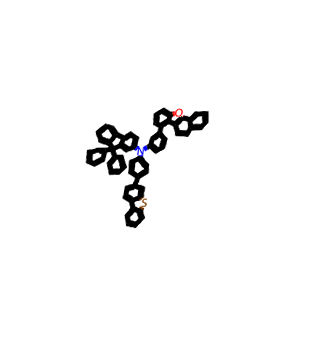 c1ccc(C2(c3ccccc3)c3ccccc3-c3ccc(N(c4ccc(-c5ccc6c(c5)sc5ccccc56)cc4)c4cccc(-c5cccc6oc7c8ccccc8ccc7c56)c4)cc32)cc1